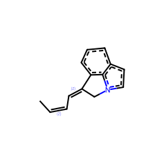 C/C=C\C=C1/Cn2ccc3cccc1c32